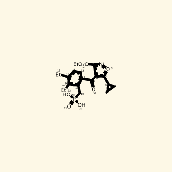 CCOC(=O)c1noc(C2CC2)c1C(=O)c1ccc(CC)c(CC)c1CP(=O)(O)O